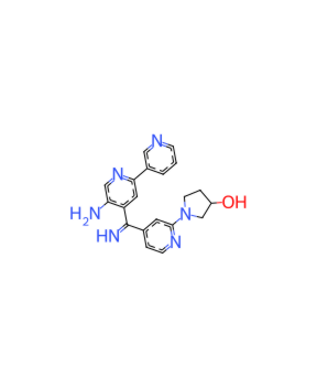 N=C(c1ccnc(N2CCC(O)C2)c1)c1cc(-c2cccnc2)ncc1N